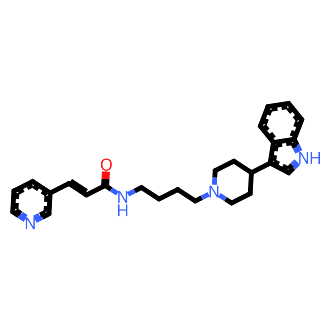 O=C(C=Cc1cccnc1)NCCCCN1CCC(c2c[nH]c3ccccc23)CC1